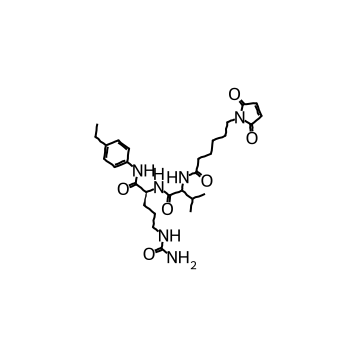 CCc1ccc(NC(=O)[C@H](CCCNC(N)=O)NC(=O)C(NC(=O)CCCCCN2C(=O)C=CC2=O)C(C)C)cc1